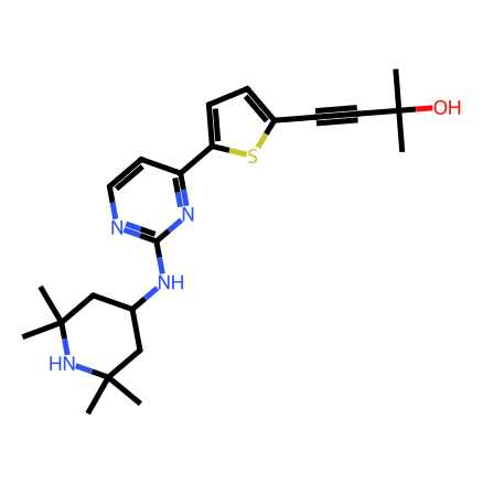 CC(C)(O)C#Cc1ccc(-c2ccnc(NC3CC(C)(C)NC(C)(C)C3)n2)s1